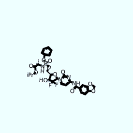 CC(C)OC(=O)[C@H](C)N[P@](=O)(OC[C@H]1O[C@@H](n2ccc(NC(=O)c3ccc4c(c3)OCO4)nc2=O)C(F)(F)[C@H]1O)Oc1ccccc1